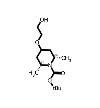 C[C@@H]1CC(OCCO)C[C@H](C)N1C(=O)OC(C)(C)C